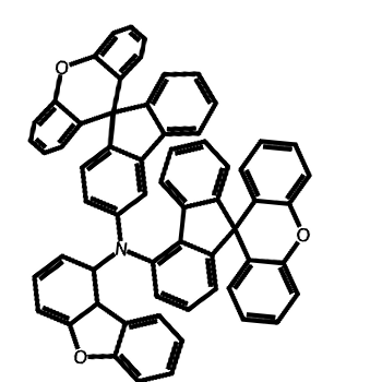 C1=CC(N(c2ccc3c(c2)-c2ccccc2C32c3ccccc3Oc3ccccc32)c2cccc3c2-c2ccccc2C32c3ccccc3Oc3ccccc32)C2C(=C1)Oc1ccccc12